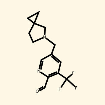 O=Cc1ncc(CN2CCC3(CC3)C2)cc1C(F)(F)F